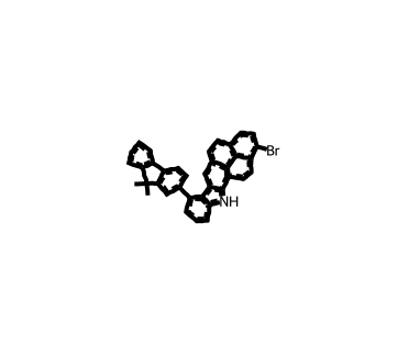 CC1(C)c2ccccc2-c2ccc(-c3cccc4[nH]c5c(cc6ccc7ccc(Br)c8ccc5c6c78)c34)cc21